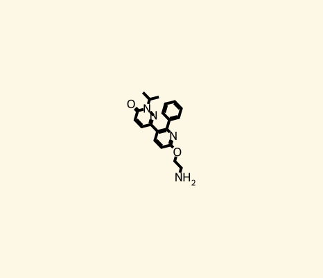 CC(C)n1nc(-c2ccc(OCCN)nc2-c2ccccc2)ccc1=O